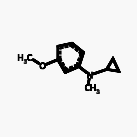 COc1cccc(N(C)C2CC2)c1